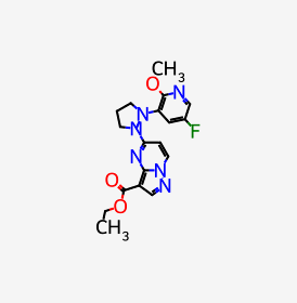 CCOC(=O)c1cnn2ccc(N3CCCN3c3cc(F)cnc3OC)nc12